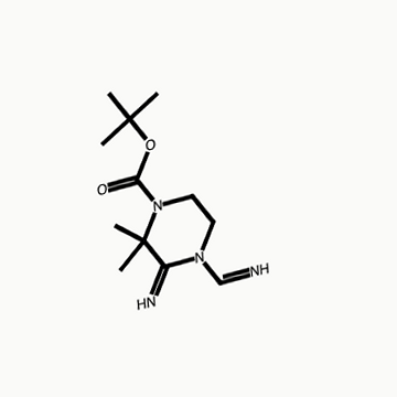 CC(C)(C)OC(=O)N1CCN(C=N)C(=N)C1(C)C